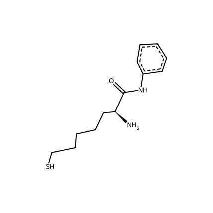 N[C@@H](CCCCCS)C(=O)Nc1ccccc1